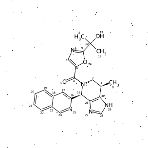 C[C@@H]1CN(C(=O)c2cnc(C(C)(C)O)o2)[C@H](c2cc3ccccc3cn2)c2nc[nH]c21